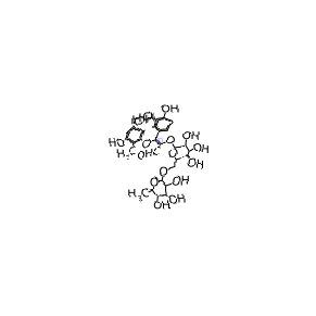 Cc1c(O)cc(O)cc1O/C(=C(\C=O)OC1OC(COC2OC(C)C(O)C(O)C2O)C(O)C(O)C1O)c1ccc(O)c(O)c1